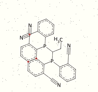 CCC(P(c1ccccc1C#N)c1ccccc1C#N)P(c1ccccc1C#N)c1ccccc1C#N